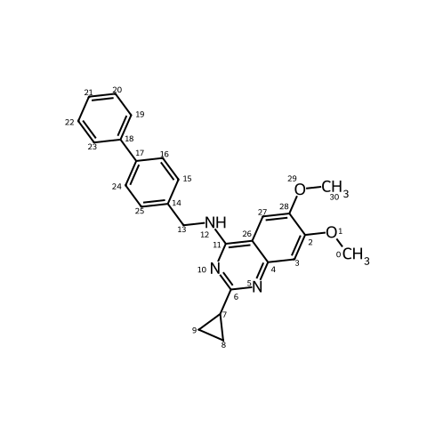 COc1cc2nc(C3CC3)nc(NCc3ccc(-c4ccccc4)cc3)c2cc1OC